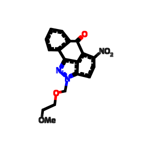 COCCOCn1nc2c3c(c([N+](=O)[O-])ccc31)C(=O)c1ccccc1-2